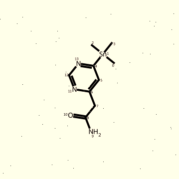 [CH3][Sn]([CH3])([CH3])[c]1cc(CC(N)=O)ncn1